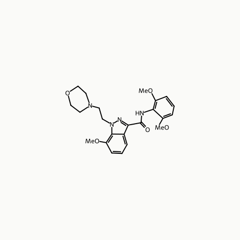 COc1cccc(OC)c1NC(=O)c1nn(CCN2CCOCC2)c2c(OC)cccc12